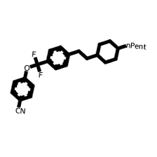 CCCCCC1CCC(CCc2ccc(C(F)(F)Oc3ccc(C#N)cc3)cc2)CC1